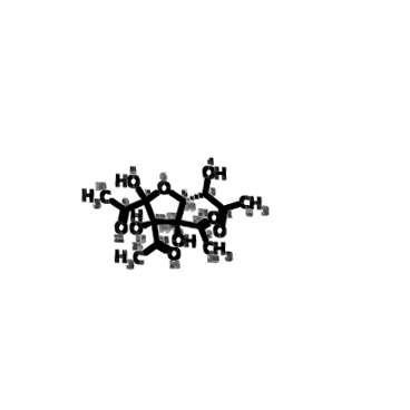 CC(=O)C(O)[C@H]1OC(O)(C(C)=O)[C@@](O)(C(C)=O)[C@@]1(O)C(C)=O